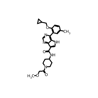 COCC(=O)N1CCC(NC(=O)c2c[nH]c3c(-c4cc(C)ccc4OCC4CC4)ncnc23)CC1